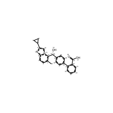 Cc1ccc2nc(C3CC3)cn2c1[C@H](O)c1ccc(-c2ccccc2C(=O)O)cc1